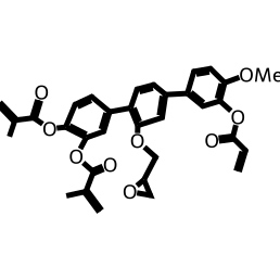 C=CC(=O)Oc1cc(-c2ccc(-c3ccc(OC(=O)C(=C)C)c(OC(=O)C(=C)C)c3)c(OCC3CO3)c2)ccc1OC